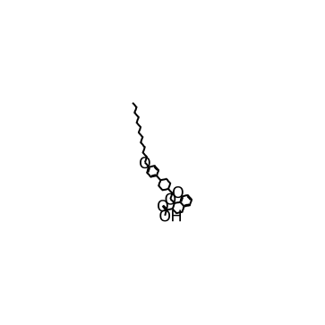 CCCCCCCCCCCCOc1ccc(C2CCC(C(=O)OC3c4ccccc4CCC3C(=O)O)CC2)cc1